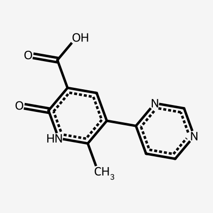 Cc1[nH]c(=O)c(C(=O)O)cc1-c1ccncn1